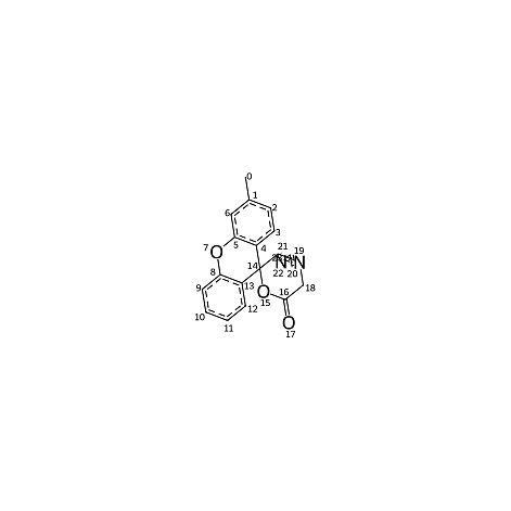 Cc1ccc2c(c1)Oc1ccccc1C21OC(=O)Cn2ccnc21